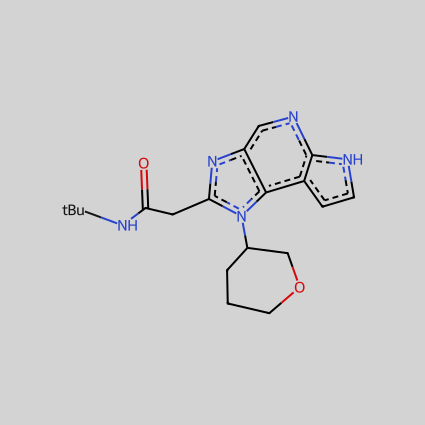 CC(C)(C)NC(=O)Cc1nc2cnc3[nH]ccc3c2n1C1CCCOC1